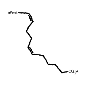 CCCCC/C=C\CC/C=C\CCCCC(=O)O